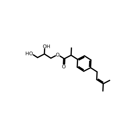 CC(C)=CCc1ccc(C(C)C(=O)OCC(O)CO)cc1